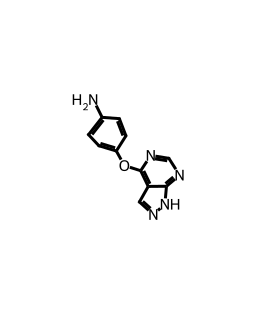 Nc1ccc(Oc2ncnc3[nH]ncc23)cc1